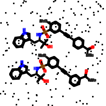 CNC(=O)c1ccc(C#Cc2ccc(OC)c(S(=O)(=O)N[C@H](Cc3c[nH]c4ccccc34)C(C)(C)O)c2)cc1.CNC(=O)c1cccc(C#Cc2ccc(OC)c(S(=O)(=O)N[C@H](Cc3c[nH]c4ccccc34)C(C)(C)O)c2)c1